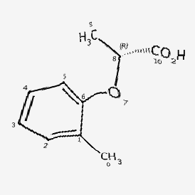 Cc1ccccc1O[C@H](C)C(=O)O